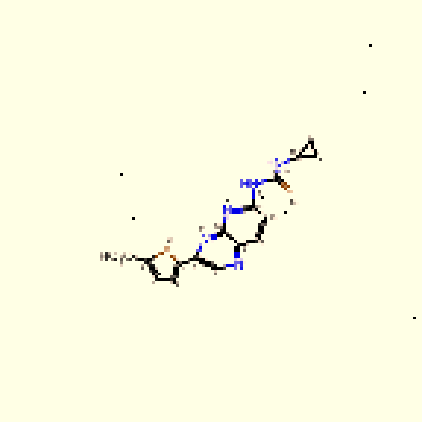 O=C(O)c1ccc(-c2cnc3ccc(NC(=S)NC4CC4)nc3n2)s1